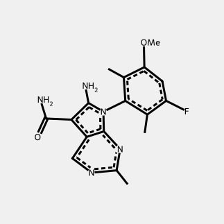 COc1cc(F)c(C)c(-n2c(N)c(C(N)=O)c3cnc(C)nc32)c1C